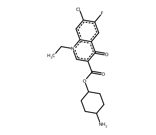 CCn1cc(C(=O)OC2CCC(N)CC2)c(=O)c2cc(F)c(Cl)cc21